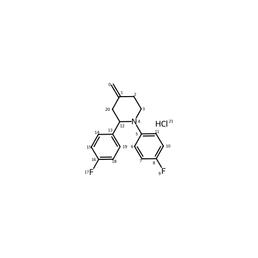 C=C1CCN(c2ccc(F)cc2)C(c2ccc(F)cc2)C1.Cl